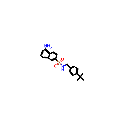 CC(C)(C)c1ccc(CNS(=O)(=O)c2ccc3c(N)cccc3c2)cc1